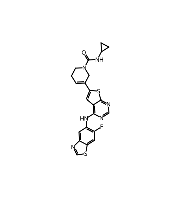 O=C(NC1CC1)N1CCC=C(c2cc3c(Nc4cc5ncsc5cc4F)ncnc3s2)C1